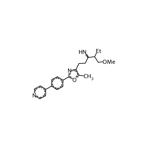 CCC(COC)C(=N)CCc1nc(-c2ccc(-c3ccncc3)cc2)oc1C